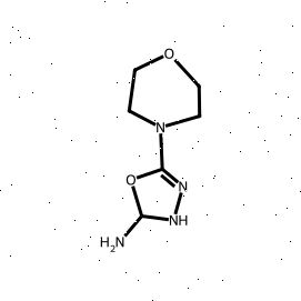 NC1NN=C(N2CCOCC2)O1